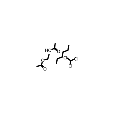 CC(=O)O.CCCCCC.CCOC(C)=O.ClC(Cl)Cl